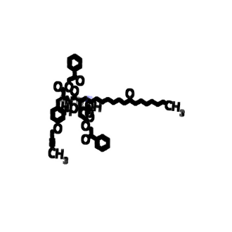 CC#CCOc1ccc(C[C@H](NC(=O)[C@@H](/C=C/CCCCCCC(=O)CCCCCCC)[C@@](O)(CC(=O)OCC(=O)c2ccccc2)C(=O)O)C(=O)OCC(=O)c2ccccc2)cc1